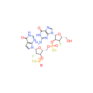 Nc1nc2c(ncn2[C@@H]2O[C@H](CO)[C@@H](F)[C@H]2OP(=O)(S)OC[C@H]2O[C@@H](n3ccc4c(=O)[nH]cnc43)[C@@H](F)[C@@H]2O[PH](=O)S)c(=O)[nH]1